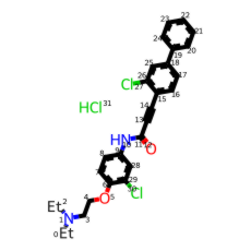 CCN(CC)CCOc1ccc(NC(=O)C#Cc2ccc(-c3ccccc3)cc2Cl)cc1Cl.Cl